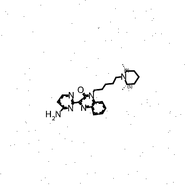 C[C@@H]1CCC[C@H](C)N1CCCCCn1c(=O)c(-c2nccc(N)n2)nc2ccccc21